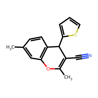 CC1=C(C#N)C(c2cccs2)c2ccc(C)cc2O1